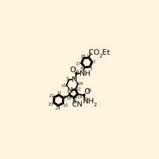 CCOC(=O)c1ccc(NC(=O)N2CCn3c(c(C(N)=O)c(C#N)c3-c3ccccc3)C2)cc1